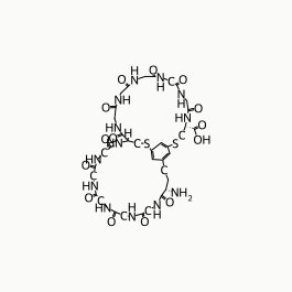 N[C@H]1CCc2cc3cc(c2)SC[C@H](NC(=O)CNC(=O)CNC(=O)CNC(=O)CNC(=O)CNC1=O)C(=O)NCC(=O)NCC(=O)NCC(=O)NCC(=O)NCC(=O)N[C@H](C(=O)O)CS3